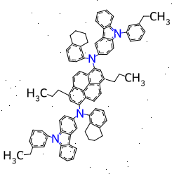 CCCc1cc(N(c2ccc3c(c2)c2ccccc2n3-c2cccc(CC)c2)c2cccc3c2CCCC3)c2ccc3c(CCC)cc(N(c4ccc5c(c4)c4ccccc4n5-c4cccc(CC)c4)c4cccc5c4CCCC5)c4ccc1c2c34